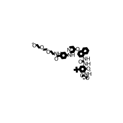 COCCOCCOCCNC(=O)c1ccc(Nc2cc(Oc3ccc(NC(=O)Nc4cc(C(C)(C)C)cc(NS(C)(=O)=O)c4OC)c4ccccc34)ccn2)cc1